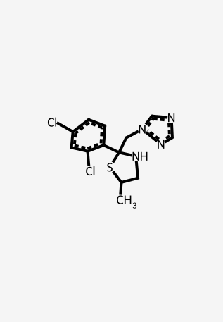 CC1CNC(Cn2cncn2)(c2ccc(Cl)cc2Cl)S1